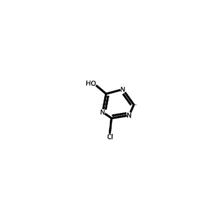 Oc1n[c]nc(Cl)n1